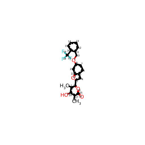 Cc1c(-c2cc3ccc(OCc4ccccc4C(F)(F)F)cc3o2)oc(=O)c(C)c1O